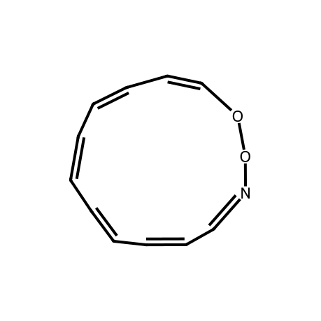 C1=CC=CC=COON=CC=CC=C1